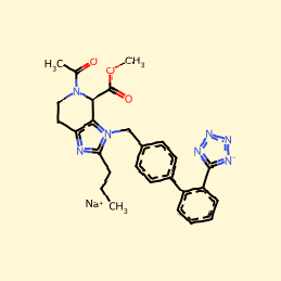 CCCc1nc2c(n1Cc1ccc(-c3ccccc3-c3nnn[n-]3)cc1)C(C(=O)OC)N(C(C)=O)CC2.[Na+]